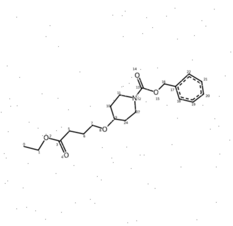 CCOC(=O)CCCOC1CCN(C(=O)OCc2ccccc2)CC1